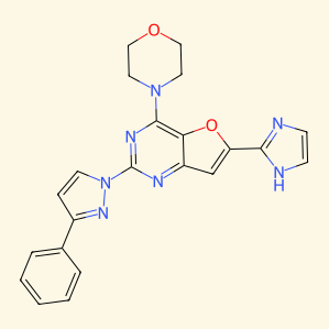 c1ccc(-c2ccn(-c3nc(N4CCOCC4)c4oc(-c5ncc[nH]5)cc4n3)n2)cc1